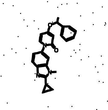 CC(Oc1ccn(-c2ccc3nc(C4CC4)n(C)c3c2)c(=O)c1)c1ccccc1